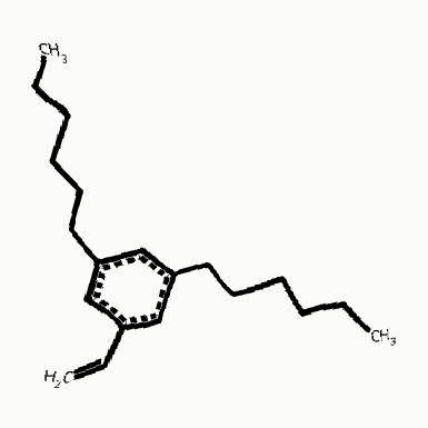 C=Cc1cc(CCCCCC)cc(CCCCCC)c1